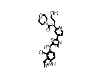 O=C(N1CCOCC1)N(CCO)c1cc(-c2nnc(Nc3ccc4[nH]ncc4c3Cl)s2)ccn1